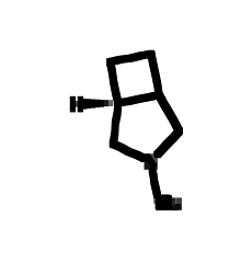 CC(C)(C)N1CC2CC[C@@H]2C1